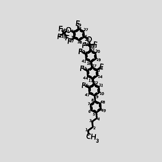 CCCCCc1ccc(-c2ccc(-c3cc(F)c(-c4ccc(C(F)(F)Oc5cc(F)c(OC(F)(F)F)c(F)c5)c(F)c4)c(F)c3)c(F)c2)cc1